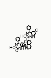 C1=Cc2ccccc2NN=C1.O=C1Nc2ccc(Cl)cc2C(c2ccccc2)=NC1O.O=C1Nc2ccc(Cl)cc2C(c2ccccc2)=NC1O